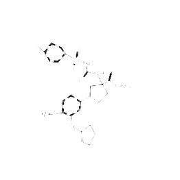 COC(=O)C1(NC(=O)NS(=O)(=O)c2ccc(C)cc2)CCC(c2ccc(OC)c(OC3CCCC3)c2)C1